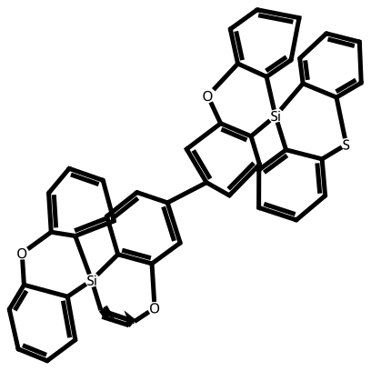 c1ccc2c(c1)Oc1ccccc1[Si]21c2ccccc2Oc2cc(-c3ccc4c(c3)Oc3ccccc3[Si]43c4ccccc4Sc4ccccc43)ccc21